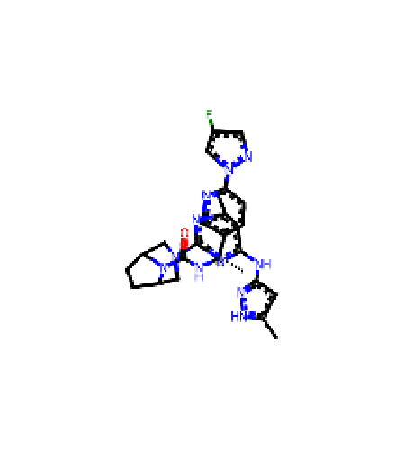 Cc1cc(Nc2cc(C)[nH]n2)nc(N2CC3CCC(C2)N3C(=O)N[C@@H](C)c2ccc(-n3cc(F)cn3)nc2)n1